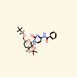 CC1(C)O[C@H]2[C@H](n3ccc(NC(=O)c4ccccc4)nc3=O)O[C@H](CO[Si](C)(C)C(C)(C)C)CC[C@H]2O1